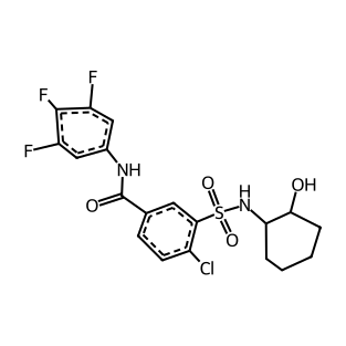 O=C(Nc1cc(F)c(F)c(F)c1)c1ccc(Cl)c(S(=O)(=O)NC2CCCCC2O)c1